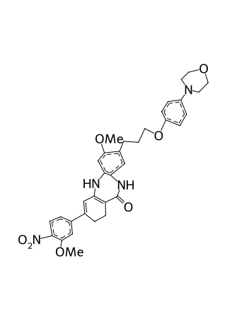 COc1cc2c(cc1CCCOc1ccc(N3CCOCC3)cc1)NC(=O)C1=C(C=C(c3ccc([N+](=O)[O-])c(OC)c3)CC1)N2